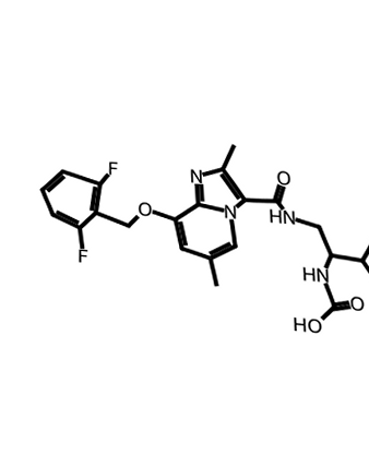 Cc1cc(OCc2c(F)cccc2F)c2nc(C)c(C(=O)NCC(NC(=O)O)C(C)C)n2c1